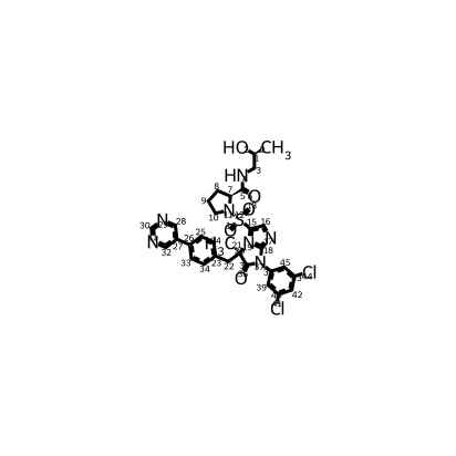 C[C@H](O)CNC(=O)[C@@H]1CCCN1S(=O)(=O)c1cnc2n1[C@](C)(Cc1ccc(-c3cncnc3)cc1)C(=O)N2c1cc(Cl)cc(Cl)c1